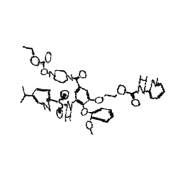 CCOC(=O)ON1CCN(C(=O)c2cc(NS(=O)(=O)c3ccc(C(C)C)cn3)c(Oc3ccccc3OC)c(OCCOC(=O)Nc3ccccn3)c2)CC1